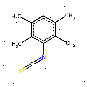 Cc1cc(C)c(C)c(N=C=S)c1C